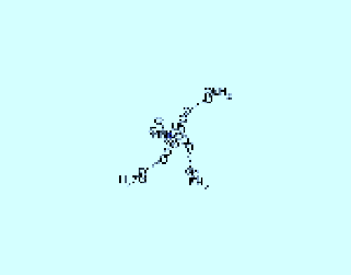 C=CC(=O)OCCCCCCOc1ccc(C(=O)Oc2cc(/C=N/Nc3cc4ccccc4c4ccccc34)c(OC(=O)c3ccc(OCCCCCCOC(=O)C=C)cc3)c3cc(OCCCCCCOC(=O)C=C)ccc23)cc1